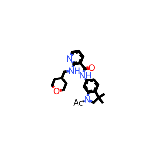 CC(=O)N1CC(C)(C)c2ccc(NC(=O)c3cccnc3NCC3CCOCC3)cc21